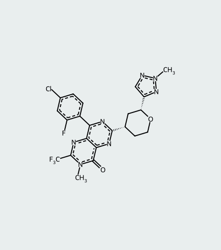 Cn1ncc([C@H]2C[C@@H](c3nc(-c4ccc(Cl)cc4F)c4nc(C(F)(F)F)n(C)c(=O)c4n3)CCO2)n1